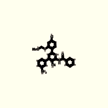 COCOc1cc(Cl)ccc1-c1cc(-c2cccc(N)c2)c(C#N)c(NC(=O)c2ccccc2)n1